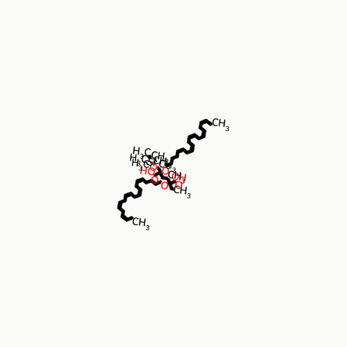 CC/C=C\C/C=C\C/C=C\C/C=C\C/C=C\CCCCOC(CC)(C(=O)O)C(C)CC(OCCCC/C=C\C/C=C\C/C=C\C/C=C\C/C=C\CC)(C(=O)O)C(C)O[Si](C)(C)C(C)(C)C